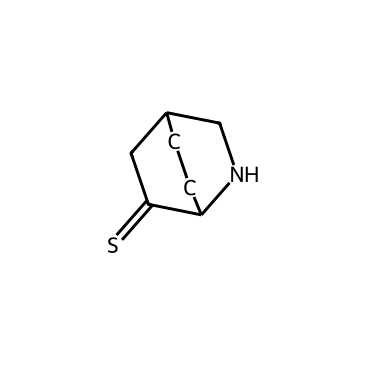 S=C1CC2CCC1NC2